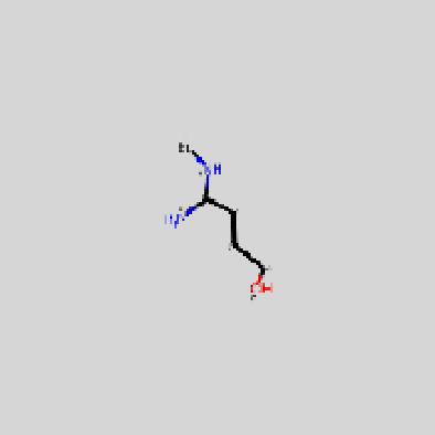 CCNC(N)CCCO